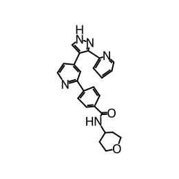 O=C(NC1CCOCC1)c1ccc(-c2cc(-c3c[nH]nc3-c3ccccn3)ccn2)cc1